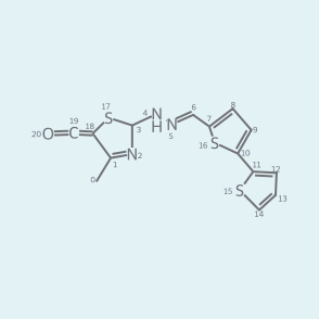 CC1=NC(NN=Cc2ccc(-c3cccs3)s2)SC1=C=O